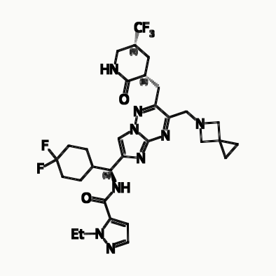 CCn1nccc1C(=O)N[C@H](c1cn2nc(C[C@H]3C[C@@H](C(F)(F)F)CNC3=O)c(CN3CC4(CC4)C3)nc2n1)C1CCC(F)(F)CC1